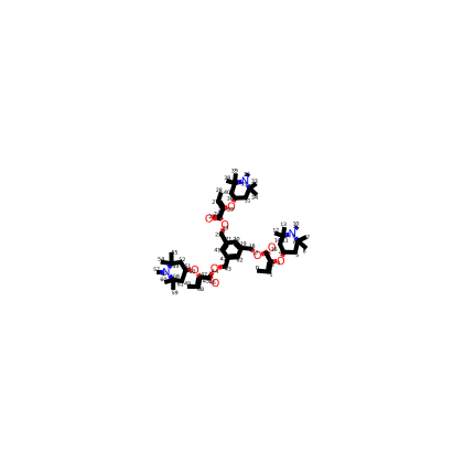 CC=C(OC1CC(C)(C)N(C)C(C)(C)C1)C(=O)OCc1cc(COC(=O)C(=CC)OC2CC(C)(C)N(C)C(C)(C)C2)cc(COC(=O)C(=CC)OC2CC(C)(C)N(C)C(C)(C)C2)c1